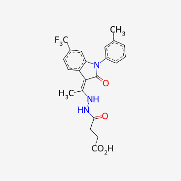 C/C(NNC(=O)CCC(=O)O)=C1/C(=O)N(c2cccc(C)c2)c2cc(C(F)(F)F)ccc21